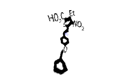 CCc1c(C(=O)O)sc(/C=C/c2ccc(OCc3ccccc3)cc2)c1[N+](=O)[O-]